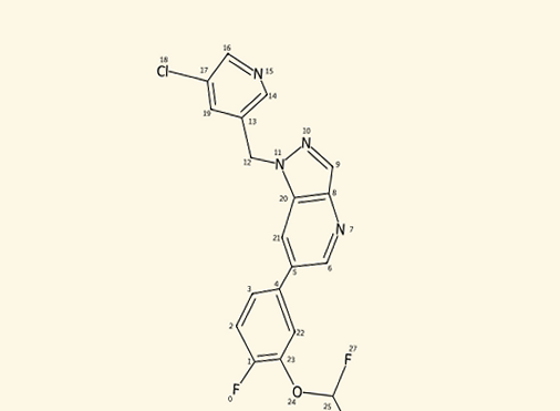 Fc1ccc(-c2cnc3cnn(Cc4cncc(Cl)c4)c3c2)cc1OC(F)F